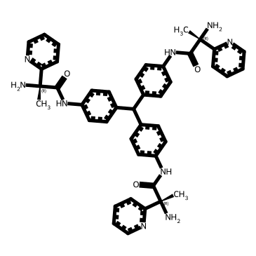 C[C@](N)(C(=O)Nc1ccc(C(c2ccc(NC(=O)[C@](C)(N)c3ccccn3)cc2)c2ccc(NC(=O)[C@](C)(N)c3ccccn3)cc2)cc1)c1ccccn1